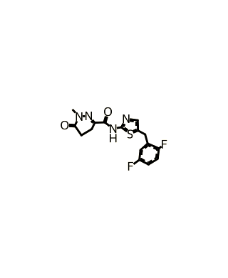 CN1N=C(C(=O)Nc2ncc(Cc3cc(F)ccc3F)s2)CCC1=O